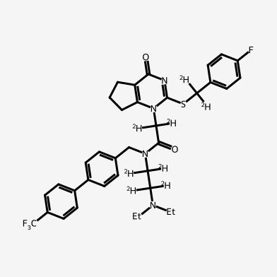 [2H]C([2H])(Sc1nc(=O)c2c(n1C([2H])([2H])C(=O)N(Cc1ccc(-c3ccc(C(F)(F)F)cc3)cc1)C([2H])([2H])C([2H])([2H])N(CC)CC)CCC2)c1ccc(F)cc1